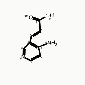 Nc1ccncc1C=CC(=O)O